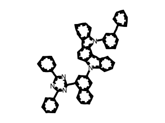 c1ccc(-c2cccc(-n3c4ccccc4c4ccc5c(c6ccccc6n5-c5cc(-c6nc(-c7ccccc7)nc(-c7ccccc7)n6)c6ccccc6c5)c43)c2)cc1